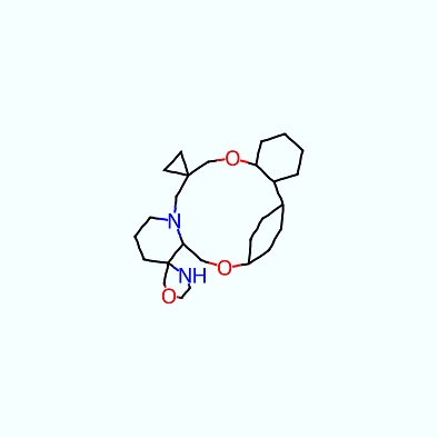 C1CCC2C3CCC(CC3)OCC3N(CCCC34COCCN4)CC3(CC3)COC2C1